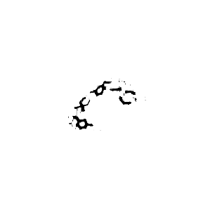 CCCCN1CCCN(C(C)Cn2c(C#N)cc3c(C)c(CN4CCC5(CC4)CN(c4ncnc6ccc(CC(F)(F)F)cc46)C5)ccc32)CC1